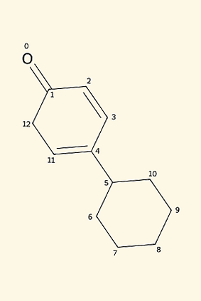 O=C1C=CC(C2CCCCC2)=CC1